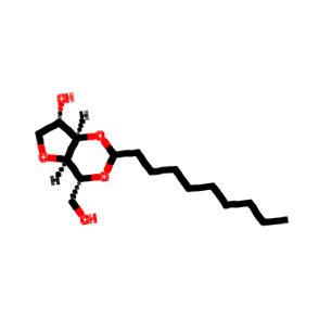 CCCCCCCCCC1O[C@H]2[C@H](OC[C@@H]2O)[C@@H](CO)O1